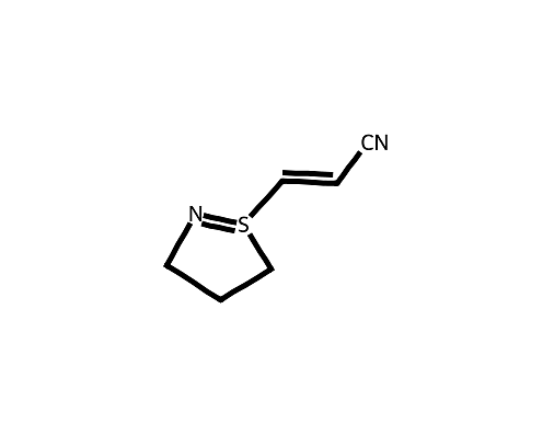 N#CC=CS1=NCCC1